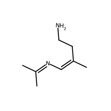 CC(=CN=C(C)C)CCN